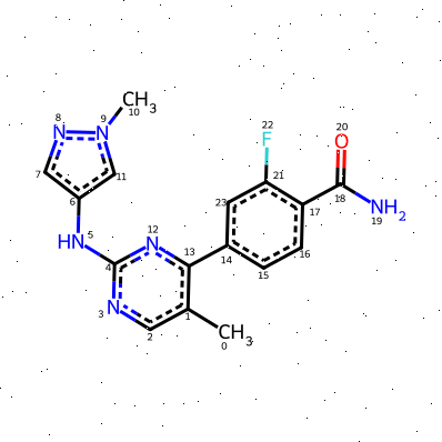 Cc1cnc(Nc2cnn(C)c2)nc1-c1ccc(C(N)=O)c(F)c1